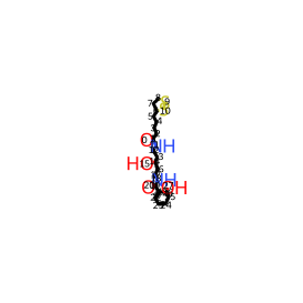 O=C(CCCCC1CCSS1)NCCC(O)CCNC(=O)c1ccccc1O